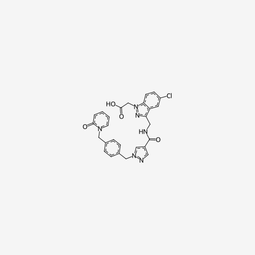 O=C(O)Cn1nc(CNC(=O)c2cnn(Cc3ccc(Cn4ccccc4=O)cc3)c2)c2cc(Cl)ccc21